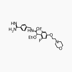 CCOC(C(=O)NCc1ccc(C(=N)N)cc1)c1c(F)cc(OCCN2CCOCC2)cc1F